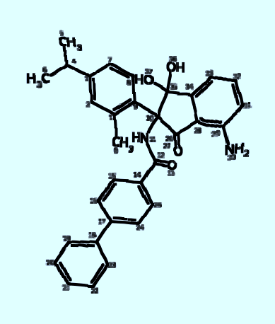 Cc1cc(C(C)C)ccc1C1(NC(=O)c2ccc(-c3ccccc3)cc2)C(=O)c2c(N)cccc2C1(O)O